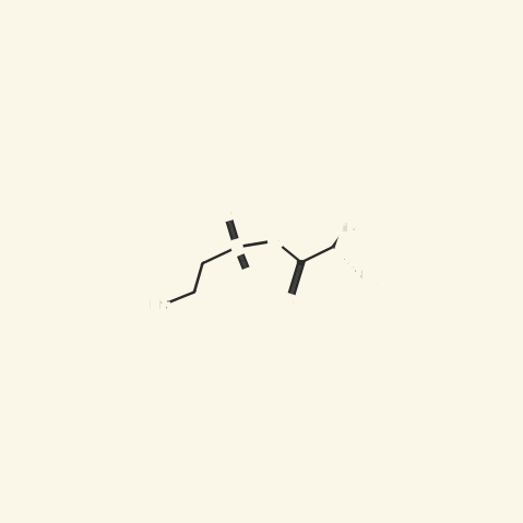 CC[C@H](C)[C@H](N)C(=O)OS(=O)(=O)CCN